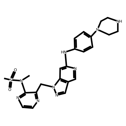 CN(c1nccnc1Cn1ncc2cnc(Nc3ccc(N4CCNCC4)cc3)cc21)S(C)(=O)=O